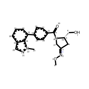 CO/N=C1/C[C@@H](CO)N(C(=O)c2ccc(-c3cccc4cnn(C)c34)cc2)C1